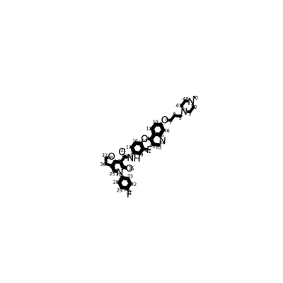 CN1CCN(CCCOc2ccc3c(Oc4ccc(NC(=O)c5c6c(cn(-c7ccc(F)cc7)c5=O)CCO6)cc4F)ccnc3c2)CC1